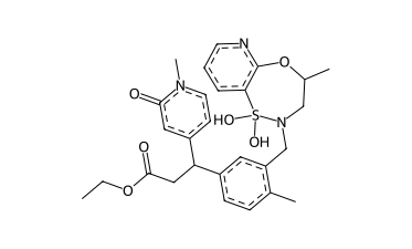 CCOC(=O)CC(c1ccc(C)c(CN2CC(C)Oc3ncccc3S2(O)O)c1)c1ccn(C)c(=O)c1